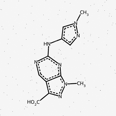 Cn1cc(Nc2ncc3c(C(=O)O)nn(C)c3n2)cn1